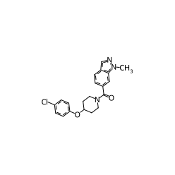 Cn1ncc2ccc(C(=O)N3CCC(Oc4ccc(Cl)cc4)CC3)cc21